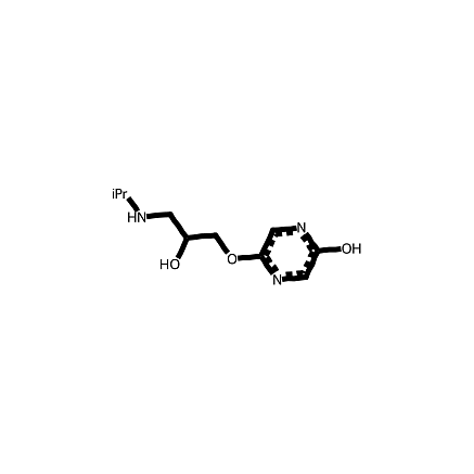 CC(C)NCC(O)COc1cnc(O)cn1